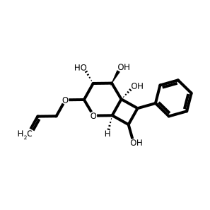 C=CCOC1O[C@@H]2C(O)C(c3ccccc3)[C@]2(O)[C@H](O)[C@H]1O